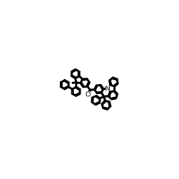 CC1(c2ccccc2-c2ccccc2)c2ccccc2-c2ccc(C(=O)c3ccc4c(c3)C(c3ccccc3)(c3ccccc3)c3cccc5c6ccccc6n-4c35)cc21